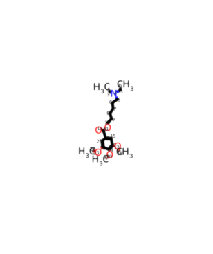 CCN(CC)CCCCCCOC(=O)c1cc(OC)c(OC)c(OC)c1